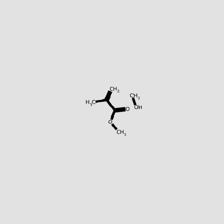 C=C(C)C(=O)OC.CO